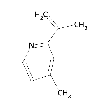 C=C(C)c1cc(C)ccn1